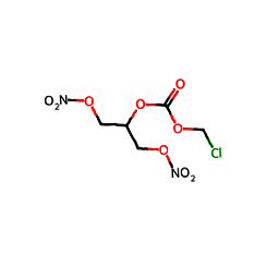 O=C(OCCl)OC(CO[N+](=O)[O-])CO[N+](=O)[O-]